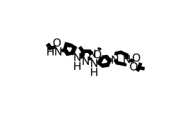 C=CC(=O)Nc1cccc(Nc2nc(Nc3ccc(N4CCCN(C(=O)OC(C)(C)C)CC4)cc3OC)ncc2C)c1